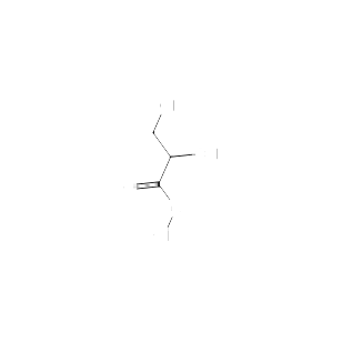 [2H]OC(=O)C(O)CO